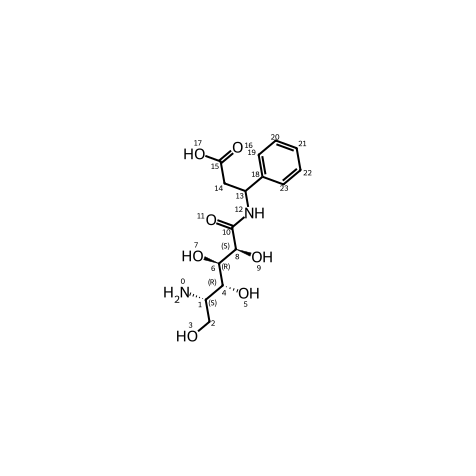 N[C@@H](CO)[C@@H](O)[C@@H](O)[C@H](O)C(=O)NC(CC(=O)O)c1ccccc1